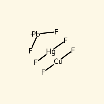 [F][Cu][F].[F][Hg][F].[F][Pb][F]